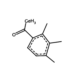 Cc1ccc([C](=O)[GeH3])c(C)c1C